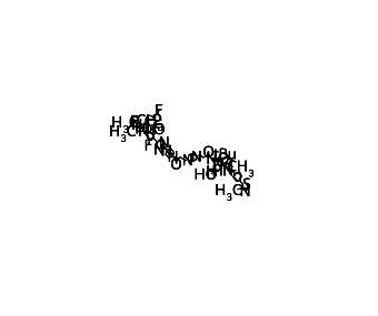 Cc1ncsc1-c1ccc([C@H](C)NC(=O)[C@@H]2C[C@@H](O)CN2C(=O)[C@@H](NC(=O)CCN2CCN(CCC(=O)N3CCN(c4ncc(-c5cc(NC(=O)c6ccc(F)cc6C(F)(F)F)c(N6C[C@@H](C)N(C)[C@@H](C)C6)cc5F)cn4)CC3)CC2)C(C)(C)C)cc1